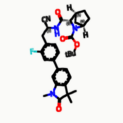 CN1C(=O)C(C)(C)c2ccc(-c3ccc(C[C@@H](C#N)NC(=O)[C@@H]4[C@H]5CC[C@H](C5)N4C(=O)OC(C)(C)C)c(F)c3)cc21